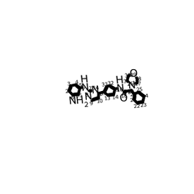 Nc1cccc(Nc2nccc(-c3ccc(NC(=O)[C@@H](c4ccccc4)N4CCOCC4)cc3)n2)c1